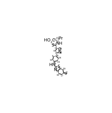 CC(C)[C@H](NC(=S)c1cc(-c2ccc(Nc3nc4ccc(F)cc4s3)cc2)no1)C(=O)O